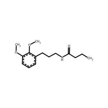 CCCC(=O)NCCCc1cccc(OC)c1OC